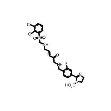 O=C(/C=C/CNCS(=O)(=O)c1cccc(Cl)c1Cl)CNCc1ccc(C2=NCCN2C(=O)O)cc1F